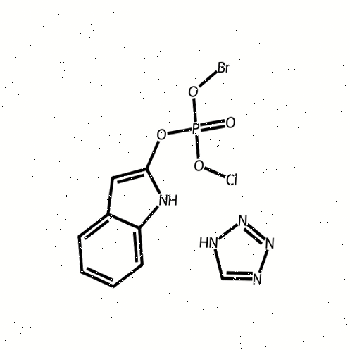 O=P(OCl)(OBr)Oc1cc2ccccc2[nH]1.c1nnn[nH]1